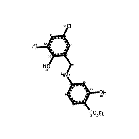 CCOC(=O)c1ccc(NCc2cc(Cl)cc(Cl)c2O)cc1O